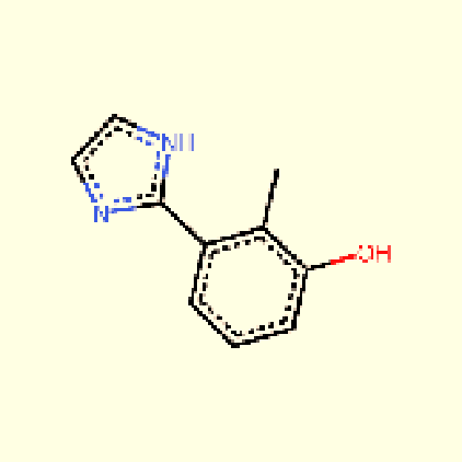 Cc1c(O)cccc1-c1ncc[nH]1